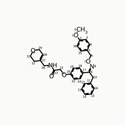 COc1ccc(CON=C(Cc2ccccc2)c2ccc(OCC(=O)NCC3=CCOCC3)cc2)cc1